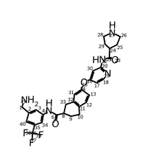 NCc1cc(NC(=O)C2CCc3ccc(Oc4ccnc(NC(=O)C5CCNCC5)c4)cc3C2)cc(C(F)(F)F)c1